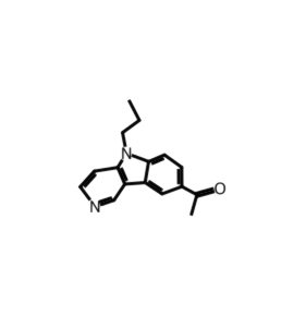 CCCn1c2ccncc2c2cc(C(C)=O)ccc21